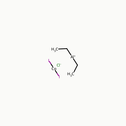 C[CH2][Al+][CH2]C.[Cl-].[I][Co][I]